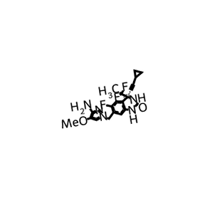 COc1cn(Cc2cc3c(cc2F)[C@@](C#CC2CC2)(C(C)(F)F)NC(=O)N3)nc1N